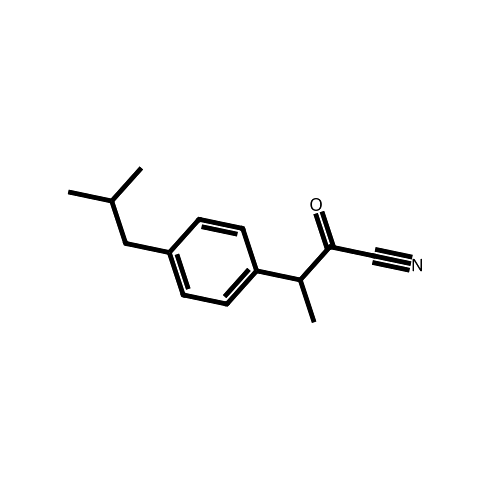 CC(C)Cc1ccc(C(C)C(=O)C#N)cc1